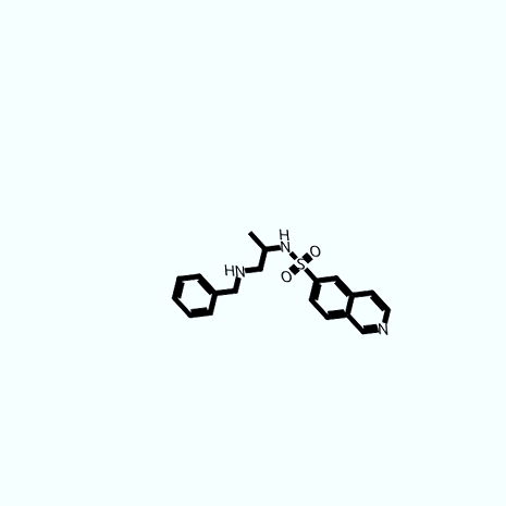 CC(CNCc1ccccc1)NS(=O)(=O)c1ccc2cnccc2c1